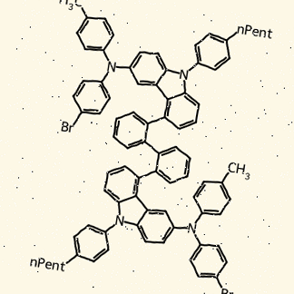 CCCCCc1ccc(-n2c3ccc(N(c4ccc(C)cc4)c4ccc(Br)cc4)cc3c3c(-c4ccccc4-c4ccccc4-c4cccc5c4c4cc(N(c6ccc(C)cc6)c6ccc(Br)cc6)ccc4n5-c4ccc(CCCCC)cc4)cccc32)cc1